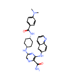 CN(C)c1ccc(C(=O)N[C@H]2CC[C@H](Nc3cnc(C(N)=O)c(Nc4ccc5ncccc5c4)n3)CC2)cc1